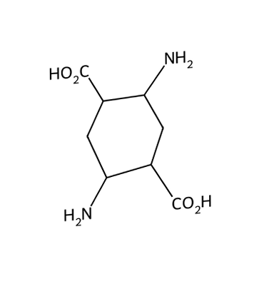 NC1CC(C(=O)O)C(N)CC1C(=O)O